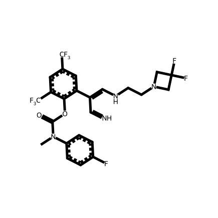 CN(C(=O)Oc1c(/C(C=N)=C/NCCN2CC(F)(F)C2)cc(C(F)(F)F)cc1C(F)(F)F)c1ccc(F)cc1